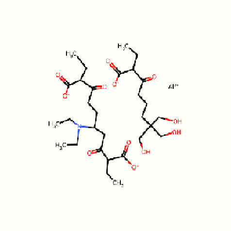 CCC(C(=O)[O-])C(=O)CCC(CC(=O)C(CC)C(=O)[O-])N(CC)CC.CCC(C(=O)[O-])C(=O)CCCC(CO)(CO)CO.[Al+3]